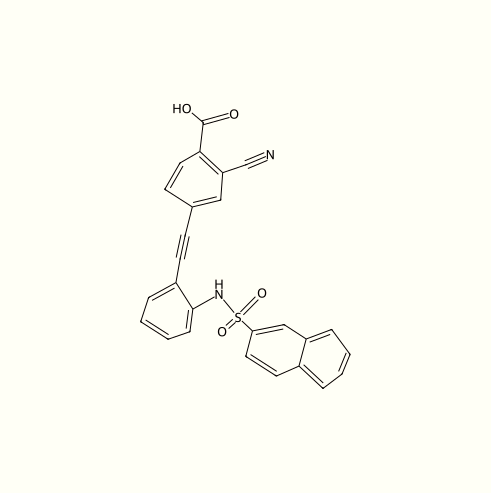 N#Cc1cc(C#Cc2ccccc2NS(=O)(=O)c2ccc3ccccc3c2)ccc1C(=O)O